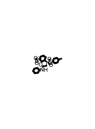 Cc1ccc(S(=O)(=O)N(CC(=O)Nc2ccccc2)c2cccc([N+](=O)[O-])c2)cc1